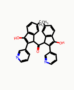 Cc1ccc2c(c1)C(C(=O)C1C(c3cccnc3)=C(O)c3ccc(C)cc31)C(c1cccnc1)=C2O